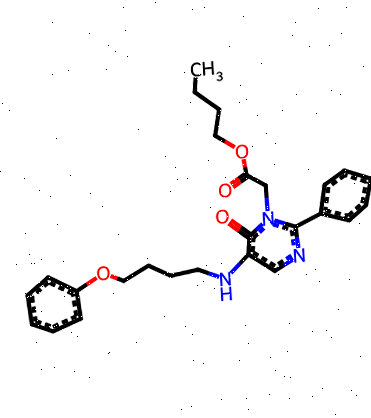 CCCCOC(=O)Cn1c(-c2ccccc2)ncc(NCCCCOc2ccccc2)c1=O